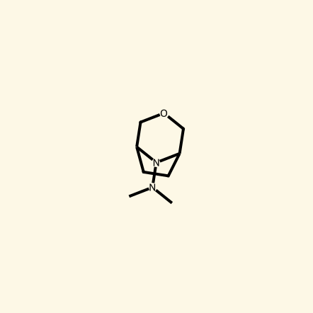 CN(C)N1C2CCC1COC2